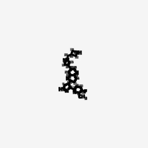 Cc1nc(-c2n[nH]cc2-c2ccc3ncc(-c4cnn(CC5CNC5)c4)cc3n2)ccc1F